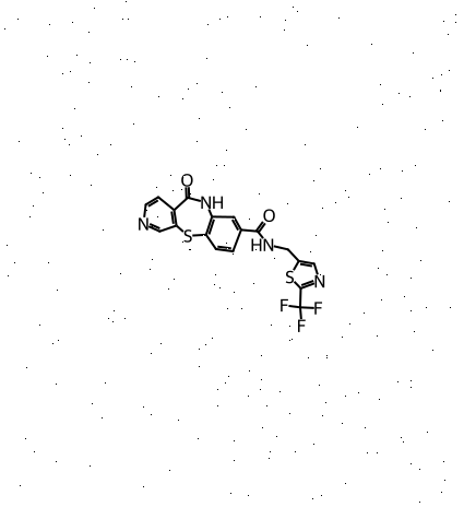 O=C(NCc1cnc(C(F)(F)F)s1)c1ccc2c(c1)NC(=O)c1ccncc1S2